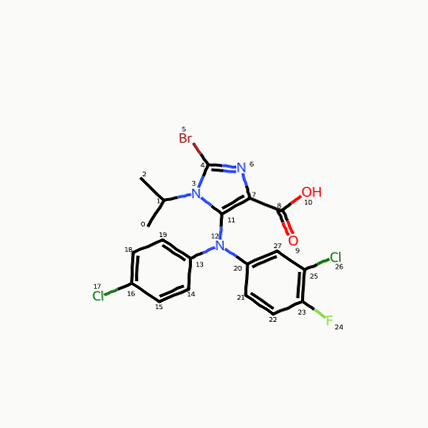 CC(C)n1c(Br)nc(C(=O)O)c1N(c1ccc(Cl)cc1)c1ccc(F)c(Cl)c1